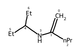 C=C(CCC)NC(CC)CC